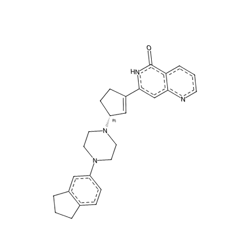 O=c1[nH]c(C2=C[C@H](N3CCN(c4ccc5c(c4)CCC5)CC3)CC2)cc2ncccc12